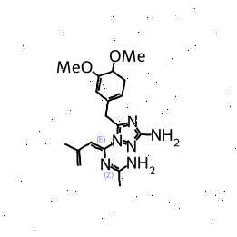 C=C(C)/C=C(\N=C(\C)N)n1nc(N)nc1CC1=CCC(OC)C(OC)=C1